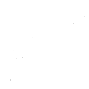 CC(=O)NC[C@H]1CN(c2ccc(-c3ccc(CS(=O)(=O)c4cnn[nH]4)cc3)c(F)c2)C(=O)O1